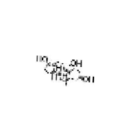 CC1=C2C[C@H](O)CC[C@]2(CO)[C@H]2CC[C@]3(C)[C@@H](O)CC[C@H]3[C@@H]2C1